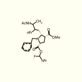 CCCC(F)OC(=O)[C@H]1C[C@@H](C(=O)OC)[C@@H](CC(CCC)C(C)NC(C)=O)N1Cc1ccccc1